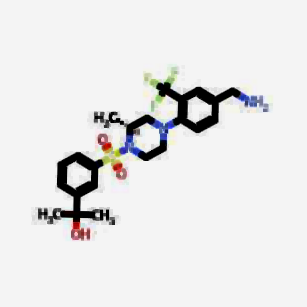 C[C@@H]1CN(c2ccc(CN)cc2C(F)(F)F)CCN1S(=O)(=O)c1cccc(C(C)(C)O)c1